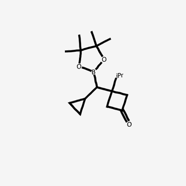 CC(C)C1(C(B2OC(C)(C)C(C)(C)O2)C2CC2)CC(=O)C1